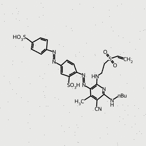 C=CS(=O)(=O)CCNc1nc(NCCCC)c(C#N)c(C)c1/N=N/c1ccc(/N=N/c2ccc(S(=O)(=O)O)cc2)cc1S(=O)(=O)O